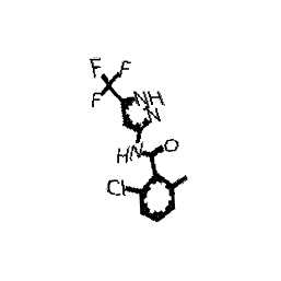 Cc1cccc(Cl)c1C(=O)Nc1cc(C(F)(F)F)[nH]n1